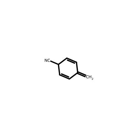 C=C1C=CC(C#N)C=C1